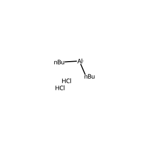 CCC[CH2][Al][CH2]CCC.Cl.Cl